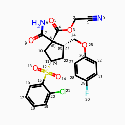 N#CCOC(=O)[C@]1(C(N)=O)C[C@@H](S(=O)(=O)c2ccccc2Cl)C[C@H]1COc1ccc(F)cc1